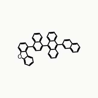 c1ccc2cc(-c3c4ccccc4c(-c4ccc(-c5cccc6oc7ccccc7c56)c5ccccc45)c4ccccc34)ccc2c1